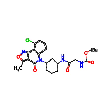 Cc1onc2c1c(=O)n(C1CCCC(NC(=O)CNC(=O)OC(C)(C)C)C1)c1cccc(Cl)c21